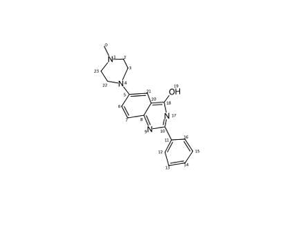 CN1CCN(c2ccc3nc(-c4ccccc4)nc(O)c3c2)CC1